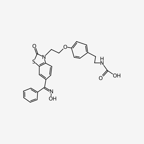 O=C(O)NCCc1ccc(OCCn2c(=O)sc3cc(/C(=N/O)c4ccccc4)ccc32)cc1